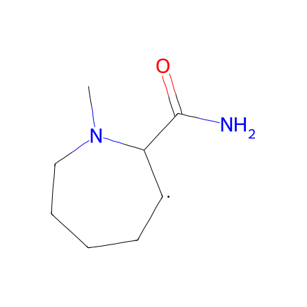 CN1CCCC[CH]C1C(N)=O